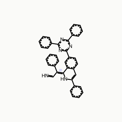 N=C/C(=C1\NC(c2ccccc2)=Cc2ccc(-c3nc(-c4ccccc4)nc(-c4ccccc4)n3)cc21)c1ccccc1